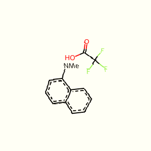 CNc1cccc2ccccc12.O=C(O)C(F)(F)F